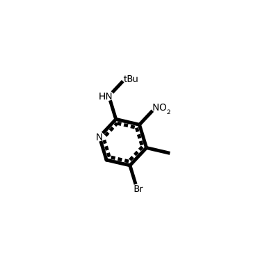 Cc1c(Br)cnc(NC(C)(C)C)c1[N+](=O)[O-]